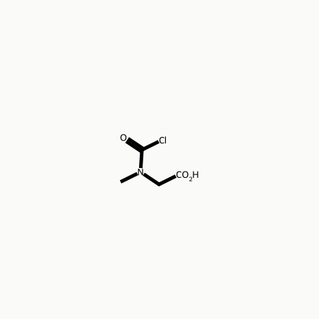 CN(CC(=O)O)C(=O)Cl